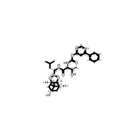 CC(C)C[C@H](NC(=O)[C@@H](NC(=O)Oc1cc(-c2ccccc2)ncn1)[C@@H](C)O)B1O[C@@H]2C[C@@H]3C[C@@H](C3(C)C)[C@]2(C)O1